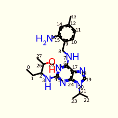 CCC(Nc1nc(NCc2ccc(C)cc2N)c2ncn(C(C)C)c2n1)C(C)O